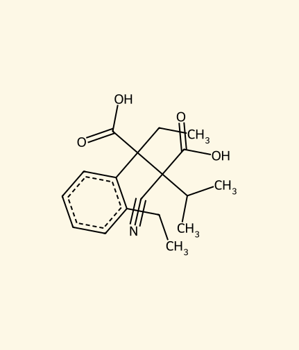 CCc1ccccc1C(CC)(C(=O)O)C(C#N)(C(=O)O)C(C)C